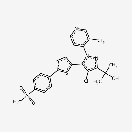 CC(C)(O)c1nn(-c2ccncc2C(F)(F)F)c(-c2ccc(-c3ccc(S(C)(=O)=O)cc3)s2)c1Cl